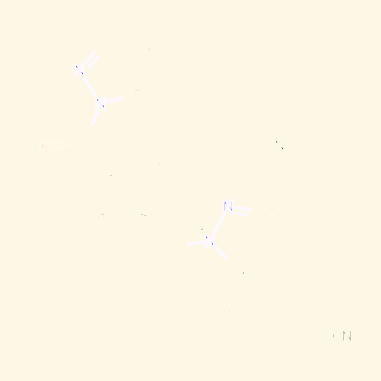 N#Cc1ccc2c(cnn2CC23CC(C(=O)N4N=CCC4c4ccc(C#N)s4)(C2)C3)c1